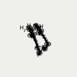 Cc1cc(N2C(=O)N(CCCCCCCCCS(=O)(=O)CCCC(F)(F)C(F)(F)F)C(C)(C)C2=O)ccc1NS(N)(=O)=O.Cc1cc(N2C(=O)N(CCCCCCCCC[S+]([O-])CCCC(F)(F)C(F)(F)F)C(C)(C)C2=O)ccc1NS(N)(=O)=O